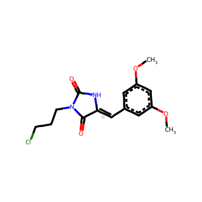 COc1cc(/C=C2\NC(=O)N(CCCCl)C2=O)cc(OC)c1